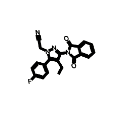 CCc1c(N2C(=O)c3ccccc3C2=O)nn(CC#N)c1-c1ccc(F)cc1